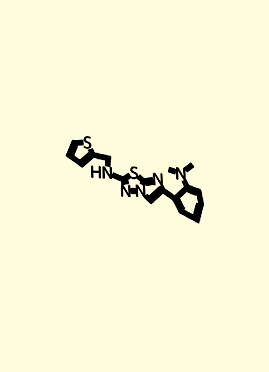 CN(C)c1ccccc1-c1cn2nc(NCc3cccs3)sc2n1